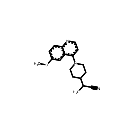 COc1ccc2nccc(N3CCC(C(C)C#N)CC3)c2c1